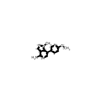 COc1ccc(-c2cnc(N)c3cnn(C)c23)cn1